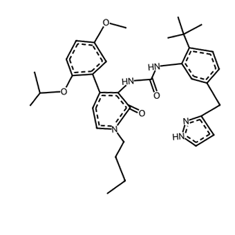 CCCCn1ccc(-c2cc(OC)ccc2OC(C)C)c(NC(=O)Nc2cc(Cc3cc[nH]n3)ccc2C(C)(C)C)c1=O